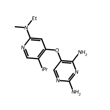 CCN(C)c1cc(Oc2cnc(N)nc2N)c(C(C)C)cn1